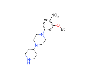 CCOc1cc(N2CCN(C3CCNCC3)CC2)ccc1[N+](=O)[O-]